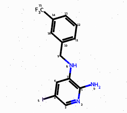 Nc1ncc(I)cc1NCc1cccc(C(F)(F)F)c1